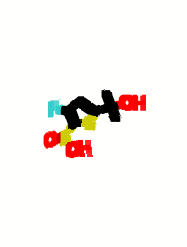 CC(C)(O)c1cc(F)c(S(=O)O)s1